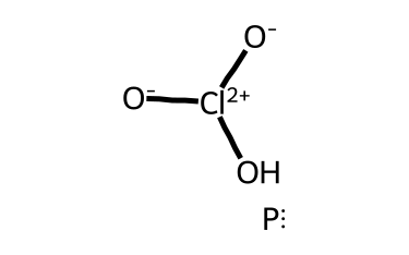 [O-][Cl+2]([O-])O.[P]